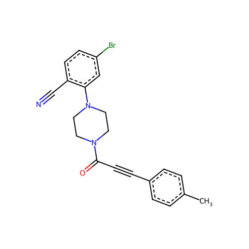 Cc1ccc(C#CC(=O)N2CCN(c3cc(Br)ccc3C#N)CC2)cc1